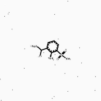 CCCCCCCC(CC)c1cccc(S(=O)(=O)NC)c1N